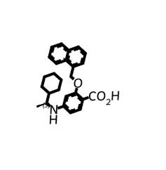 C[C@H](Nc1ccc(C(=O)O)c(OCc2cccc3ccccc23)c1)C1CCCCC1